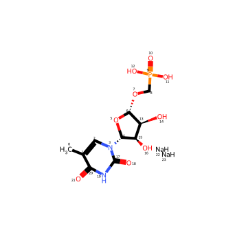 Cc1cn([C@@H]2O[C@H](OCP(=O)(O)O)[C@@H](O)[C@H]2O)c(=O)[nH]c1=O.[NaH].[NaH]